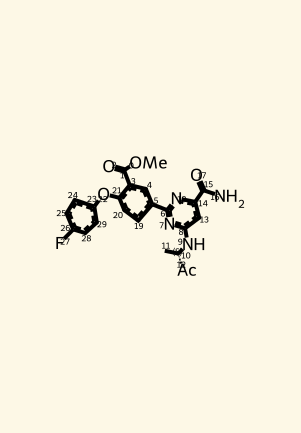 COC(=O)c1cc(-c2nc(N[C@@H](C)C(C)=O)cc(C(N)=O)n2)ccc1Oc1ccc(F)cc1